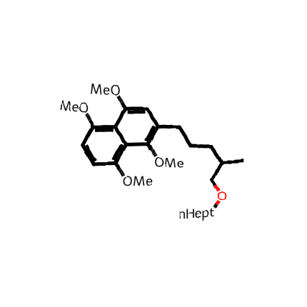 CCCCCCCOCC(C)CCCc1cc(OC)c2c(OC)ccc(OC)c2c1OC